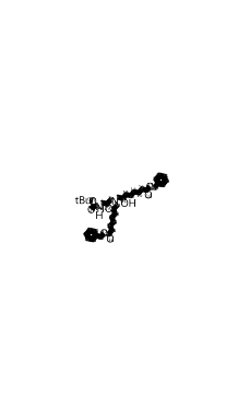 CC(C)(C)OC(=O)NCCCN(CC(O)CCCCCC(=O)OCc1ccccc1)CC(O)CCCCCC(=O)OCc1ccccc1